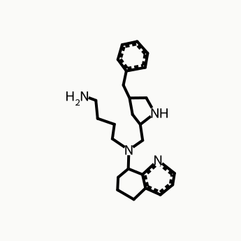 NCCCCN(CC1CC(Cc2ccccc2)CN1)C1CCCc2cccnc21